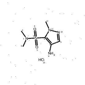 CN(C)S(=O)(=O)c1c(N)cnn1C.Cl